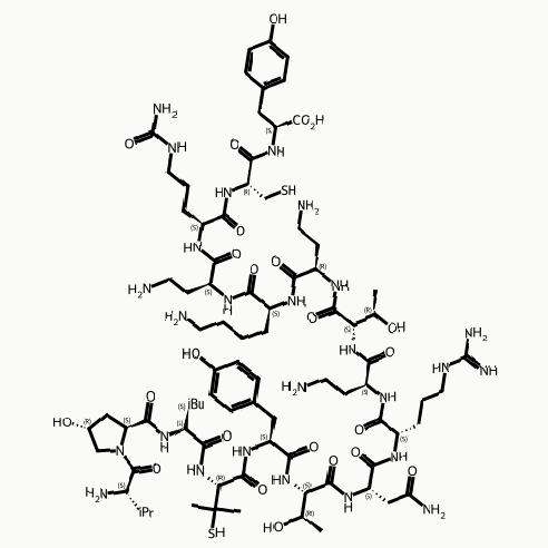 CC[C@H](C)[C@H](NC(=O)[C@@H]1C[C@@H](O)CN1C(=O)[C@@H](N)C(C)C)C(=O)N[C@H](C(=O)N[C@@H](Cc1ccc(O)cc1)C(=O)N[C@H](C(=O)N[C@@H](CC(N)=O)C(=O)N[C@@H](CCCNC(=N)N)C(=O)N[C@@H](CCN)C(=O)N[C@H](C(=O)N[C@H](CCN)C(=O)N[C@@H](CCCCN)C(=O)N[C@@H](CCN)C(=O)N[C@@H](CCCNC(N)=O)C(=O)N[C@@H](CS)C(=O)N[C@@H](Cc1ccc(O)cc1)C(=O)O)[C@@H](C)O)[C@@H](C)O)C(C)(C)S